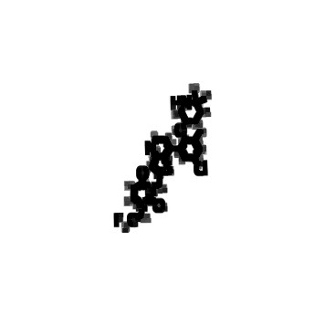 Cc1cc(Cl)cc(-c2ccnc3cc(Cn4c(=O)ccn(CC(F)(F)F)c4=O)sc23)c1O[C@H]1CCC(C)(C)NC1